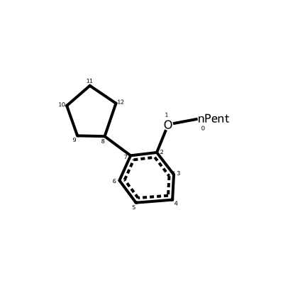 CCCCCOc1[c]cccc1C1CCCC1